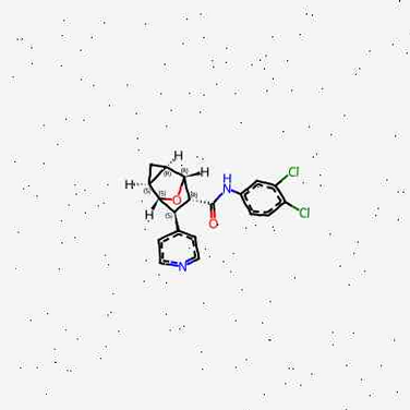 O=C(Nc1ccc(Cl)c(Cl)c1)[C@H]1[C@@H]2O[C@@H]([C@H]3C[C@H]32)[C@@H]1c1ccncc1